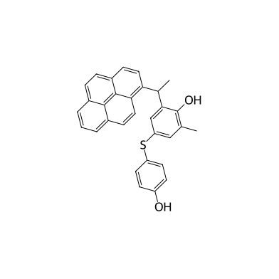 Cc1cc(Sc2ccc(O)cc2)cc(C(C)c2ccc3ccc4cccc5ccc2c3c45)c1O